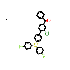 O=C(c1ccccc1)c1ccc(-c2ccc([S+](c3ccc(F)cc3)c3ccc(F)cc3)cc2)c(Cl)c1